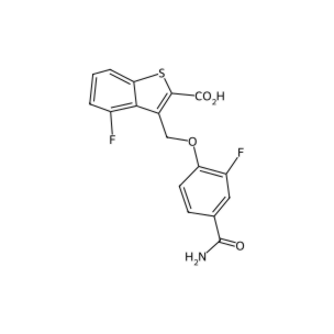 NC(=O)c1ccc(OCc2c(C(=O)O)sc3cccc(F)c23)c(F)c1